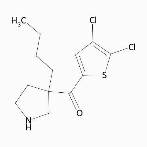 CCCCC1(C(=O)c2cc(Cl)c(Cl)s2)CCNC1